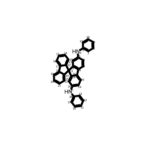 c1ccc(Nc2ccc3c(c2)C2(c4ccccc4-c4ccccc42)c2cc(Nc4ccccc4)ccc2-3)cc1